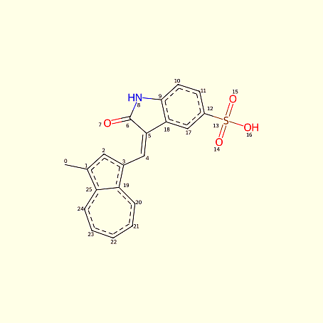 Cc1cc(/C=C2\C(=O)Nc3ccc(S(=O)(=O)O)cc32)c2cccccc1-2